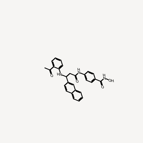 CC(=O)c1ccccc1NC(CC(=O)Nc1ccc(C(=O)NO)cc1)c1ccc2ccccc2c1